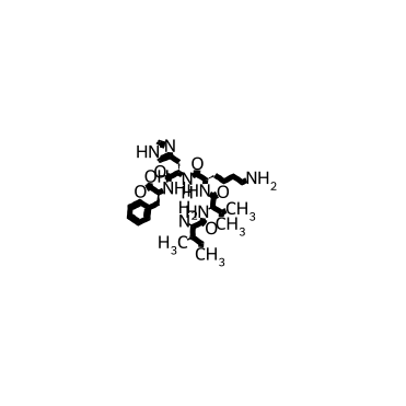 CC[C@H](C)[C@H](N)C(=O)N[C@H](C(=O)N[C@@H](CCCCN)C(=O)N[C@@H](Cc1c[nH]cn1)C(=O)N[C@@H](Cc1ccccc1)C(=O)O)C(C)C